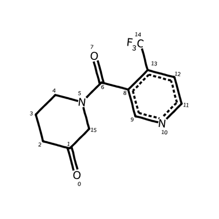 O=C1CCCN(C(=O)c2cnccc2C(F)(F)F)C1